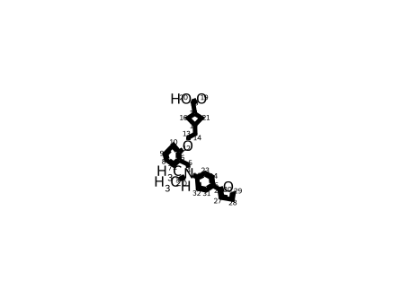 [2H]C(C)(C)N(Cc1ccccc1OCCC1CC(C(=O)O)C1)c1ccc(-c2ccco2)cc1